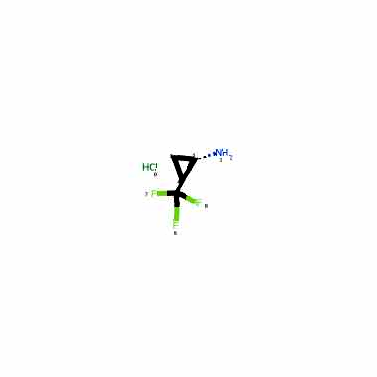 Cl.N[C@H]1C[C@@H]1C(F)(F)F